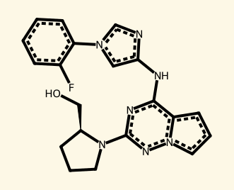 OC[C@@H]1CCCN1c1nc(Nc2cn(-c3ccccc3F)cn2)c2cccn2n1